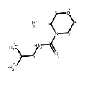 [CH2]C(C)CNC(=O)N1CCOCC1.[H+]